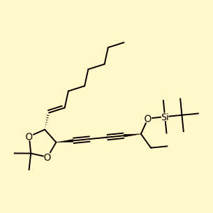 CCCCCC/C=C/[C@H]1OC(C)(C)O[C@@H]1C#CC#C[C@H](CC)O[Si](C)(C)C(C)(C)C